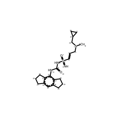 CN(C/C=C/S(=N)(=O)NC(=O)Nc1c2c(cc3c1CCC3)CCC2)CC1CC1